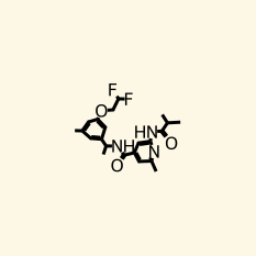 Cc1cc(OCC(F)F)cc(C(C)NC(=O)c2cc(C)nc(NC(=O)C(C)C)c2)c1